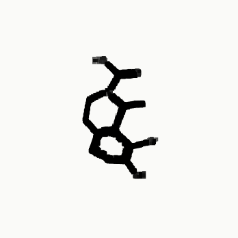 CC1c2c(ccc(O)c2Br)CCN1C(=O)O